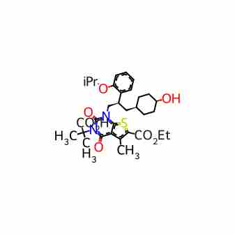 CCOC(=O)c1sc2c(c1C)c(=O)n(C(C)(C)C(=O)O)c(=O)n2C[C@H](C[C@H]1CC[C@@H](O)CC1)c1ccccc1OC(C)C